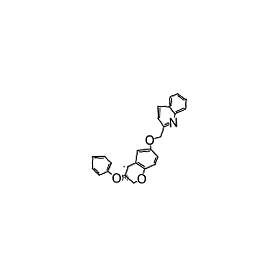 [CH]1c2cc(OCc3ccc4ccccc4n3)ccc2OC[C@@H]1Oc1ccccc1